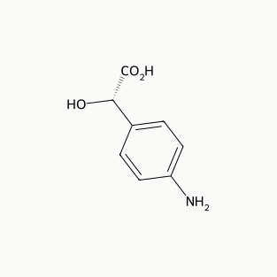 Nc1ccc([C@H](O)C(=O)O)cc1